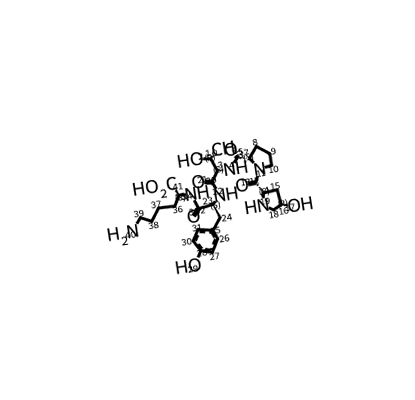 C[C@@H](O)[C@H](NC(=O)[C@@H]1CCCN1C(=O)[C@@H]1C[C@@H](O)CN1)C(=O)N[C@@H](Cc1ccc(O)cc1)C(=O)N[C@@H](CCCCN)C(=O)O